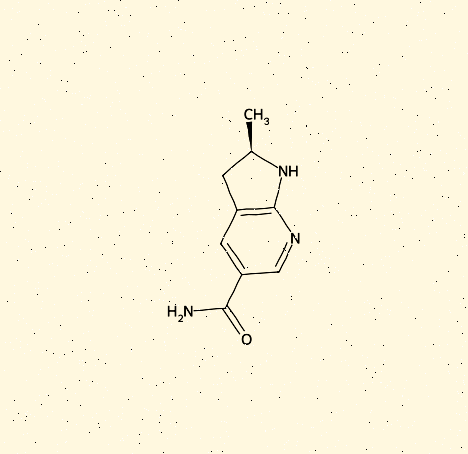 C[C@@H]1Cc2cc(C(N)=O)cnc2N1